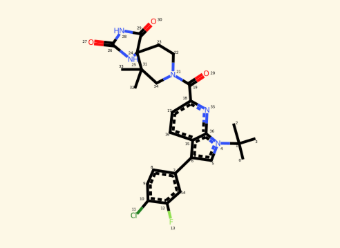 CC(C)(C)n1cc(-c2ccc(Cl)c(F)c2)c2ccc(C(=O)N3CCC4(NC(=O)NC4=O)C(C)(C)C3)nc21